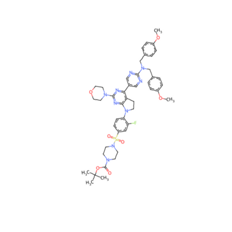 COc1ccc(CN(Cc2ccc(OC)cc2)c2ncc(-c3nc(N4CCOCC4)nc4c3CCN4c3ccc(S(=O)(=O)N4CCN(C(=O)OC(C)(C)C)CC4)cc3F)cn2)cc1